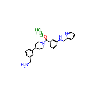 Cl.Cl.Cl.NCc1cccc(C2CCN(C(=O)c3cccc(NCc4ccccn4)c3)CC2)c1